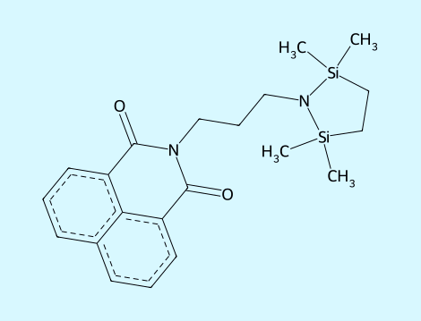 C[Si]1(C)CC[Si](C)(C)N1CCCN1C(=O)c2cccc3cccc(c23)C1=O